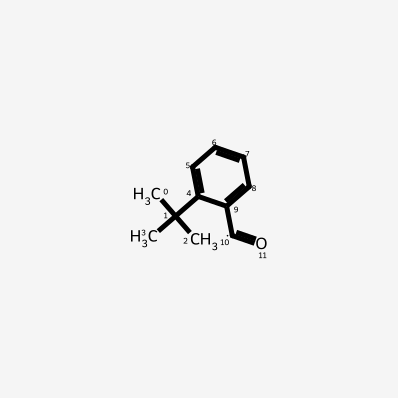 CC(C)(C)c1ccccc1[C]=O